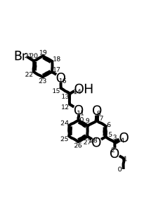 CCOC(=O)c1cc(=O)c2c(OCC(O)COc3ccc(Br)cc3)cccc2o1